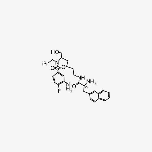 CC(C)CN(C(CO)CCCCNC(=O)[C@@H](N)Cc1ccc2ccccc2c1)S(=O)(=O)c1ccc(F)c(N)c1